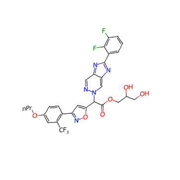 CCCOc1ccc(-c2cc(C(C(=O)OCC(O)CO)n3cc4nc(-c5cccc(F)c5F)nc-4cn3)on2)c(C(F)(F)F)c1